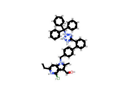 CCc1cc2c(c(Cl)n1)c(C=O)c(C)n2Cc1ccc(-c2ccccc2-c2nnn(C(c3ccccc3)(c3ccccc3)c3ccccc3)n2)cc1